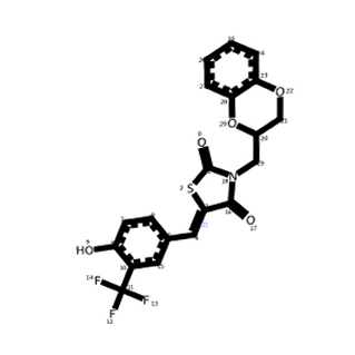 O=C1S/C(=C\c2ccc(O)c(C(F)(F)F)c2)C(=O)N1CC1COc2ccccc2O1